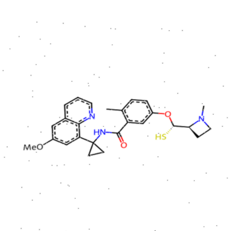 COc1cc(C2(NC(=O)c3cc(O[C@@H](S)[C@@H]4CCN4C)ccc3C)CC2)c2ncccc2c1